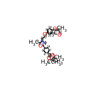 Cc1oc(-c2ccc(B3OC(C)(C)C(C)(C)O3)cc2)nc1CCOc1ccc(OC(C)(C)C=O)cc1